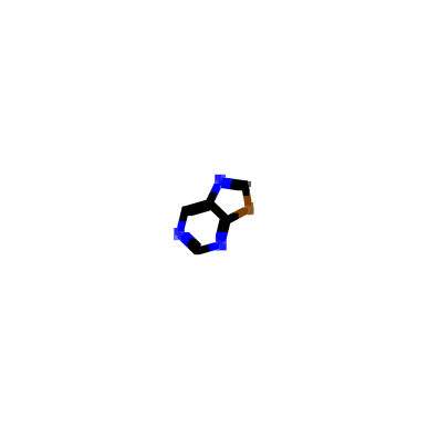 [c]1nc2cncnc2s1